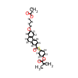 C=CC(=O)OCCCCOc1ccc2c(ccc3cc(C(=O)Sc4ccc(OC(=O)C(=C)C)cc4)ccc32)c1